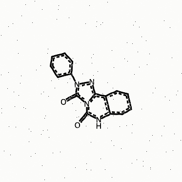 O=c1[nH]c2ccccc2c2nn(-c3ccccc3)c(=O)n12